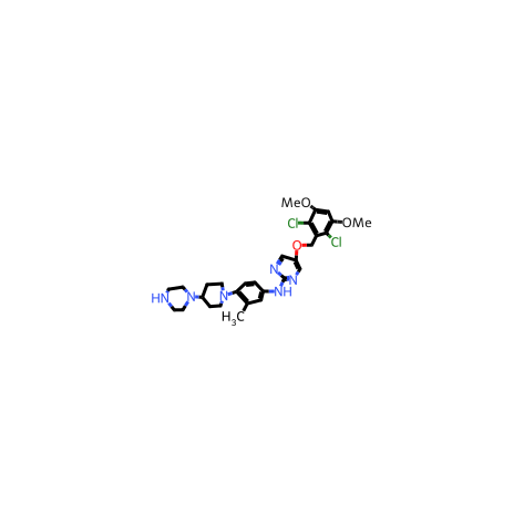 COc1cc(OC)c(Cl)c(COc2cnc(Nc3ccc(N4CCC(N5CCNCC5)CC4)c(C)c3)nc2)c1Cl